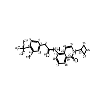 O=C(Cc1ccc(C(F)(F)F)c(F)c1)Nc1cccc2c(=O)n(C3CCC3)ccc12